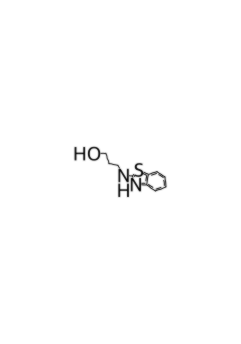 OCCCNc1nc2ccccc2s1